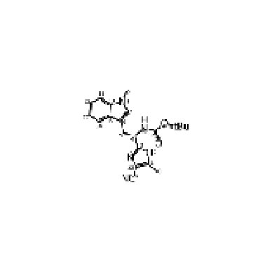 Cc1oc([C@@H](Cc2cn(C)c3ccccc23)NC(=O)OC(C)(C)C)nc1C#N